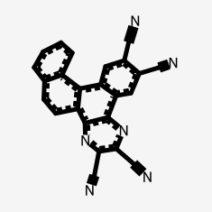 N#Cc1cc2c(cc1C#N)c1c3ccccc3ccc1c1nc(C#N)c(C#N)nc21